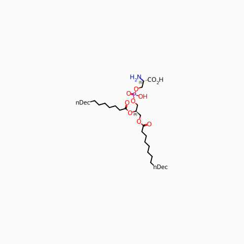 CCCCCCCCCCCCCCCCCC(=O)OC[C@H](COP(=O)(O)OC[C@H](N)C(=O)O)OC(=O)CCCCCCCCCCCCCCCC